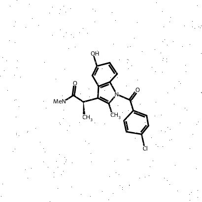 CNC(=O)[C@H](C)c1c(C)n(C(=O)c2ccc(Cl)cc2)c2ccc(O)cc12